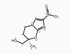 C[C@]1(CO)CCn2cc([N+](=O)[O-])nc2O1